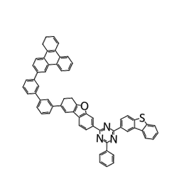 C1=Cc2c(c3ccc(-c4cccc(-c5cccc(C6=Cc7c(oc8cc(-c9nc(-c%10ccccc%10)nc(-c%10ccc%11sc%12ccccc%12c%11c%10)n9)ccc78)CC6)c5)c4)cc3c3ccccc23)CC1